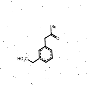 CC(C)(C)C(=O)Cc1cccc(CC(=O)O)c1